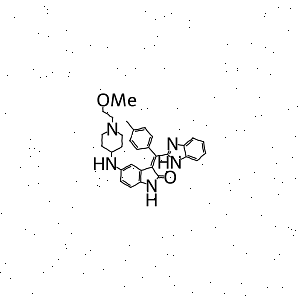 COCCN1CCC(Nc2ccc3c(c2)C(=C(c2ccc(C)cc2)c2nc4ccccc4[nH]2)C(=O)N3)CC1